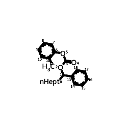 CCCCCCCC(OC(=O)Oc1ccccc1C)c1ccccc1